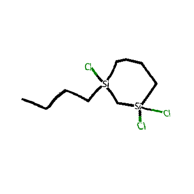 CCCC[Si]1(Cl)CCC[Si](Cl)(Cl)C1